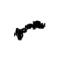 CN(C[C@H]1CC[C@H](n2cc(NC(=O)OC(C)(C)C)c(C(F)F)n2)CC1)C1CCN(Cc2cccc3c2n(C)c(=O)n3C2CCC(=O)NC2=O)CC1